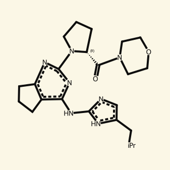 CC(C)Cc1cnc(Nc2nc(N3CCC[C@@H]3C(=O)N3CCOCC3)nc3c2CCC3)[nH]1